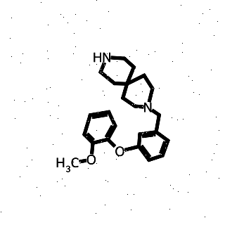 COc1ccccc1Oc1cccc(CN2CCC3(CCNCC3)CC2)c1